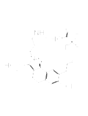 NCCCn1nc2c(c1C(=O)O)CCc1cc(O)c(CCC(F)(F)F)cc1-2.O=C(O)C(F)(F)F